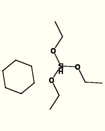 C1CCCCC1.CCO[SiH](OCC)OCC